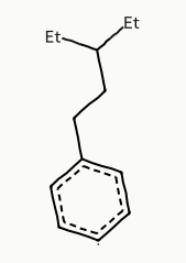 CCC(CC)CCc1cc[c]cc1